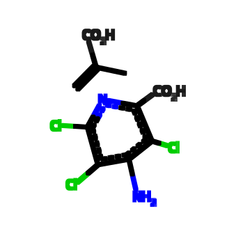 C=C(C)C(=O)O.Nc1c(Cl)c(Cl)nc(C(=O)O)c1Cl